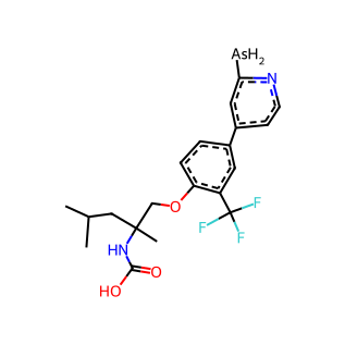 CC(C)CC(C)(COc1ccc(-c2ccnc([AsH2])c2)cc1C(F)(F)F)NC(=O)O